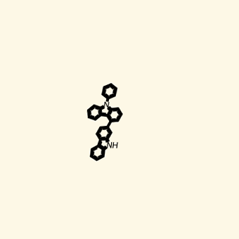 c1ccc(-n2c3ccccc3c3c(-c4ccc5c(c4)[nH]c4ccccc45)cccc32)cc1